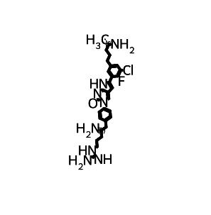 C[C@H](N)CCCc1cc(Cl)c(F)c(-c2cc3cn(-c4ccc(C[C@H](N)CCCNC(=N)N)cc4)c(=O)nc3[nH]2)c1